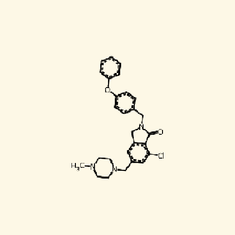 CN1CCN(Cc2cc(Cl)c3c(c2)CN(Cc2ccc(Oc4ccccc4)cc2)C3=O)CC1